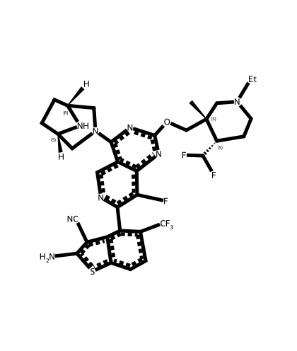 CCN1CC[C@H](C(F)F)[C@](C)(COc2nc(N3C[C@H]4CC[C@@H](C3)N4)c3cnc(-c4c(C(F)(F)F)ccc5sc(N)c(C#N)c45)c(F)c3n2)C1